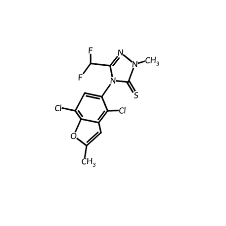 Cc1cc2c(Cl)c(-n3c(C(F)F)nn(C)c3=S)cc(Cl)c2o1